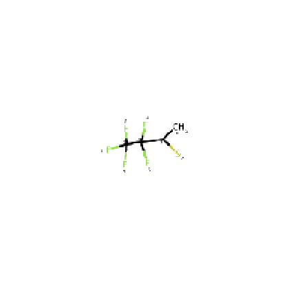 CC([S])C(F)(F)C(F)(F)F